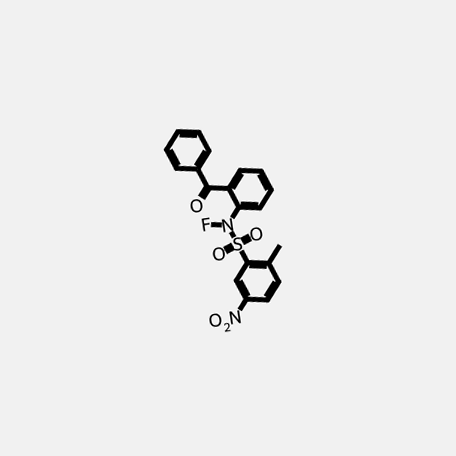 Cc1ccc([N+](=O)[O-])cc1S(=O)(=O)N(F)c1ccccc1C(=O)c1ccccc1